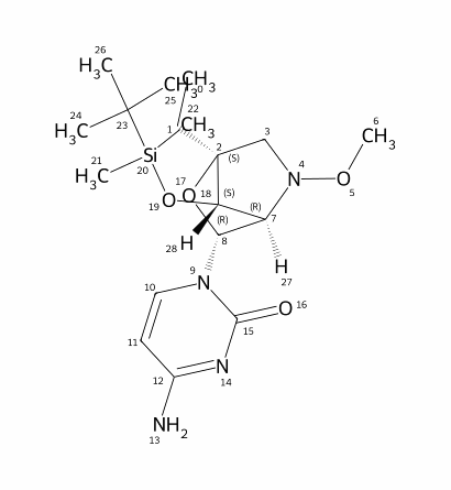 CC[C@@]12CN(OC)[C@@H]([C@H](n3ccc(N)nc3=O)O1)[C@@H]2O[Si](C)(C)C(C)(C)C